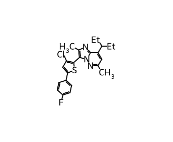 CCC(CC)c1cc(C)nn2c(-c3sc(-c4ccc(F)cc4)cc3Cl)c(C)nc12